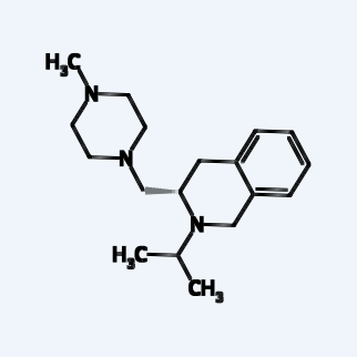 CC(C)N1Cc2ccccc2C[C@H]1CN1CCN(C)CC1